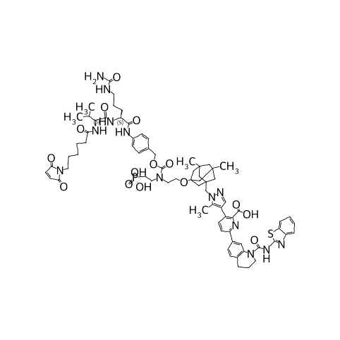 Cc1c(-c2ccc(-c3ccc4c(c3)N(C(=O)Nc3nc5ccccc5s3)CCC4)nc2C(=O)O)cnn1CC12CC3(C)CC(C)(C1)CC(OCCN(CCP(=O)(O)O)C(=O)OCc1ccc(NC(=O)[C@H](CCCNC(N)=O)NC(=O)[C@@H](NC(=O)CCCCCN4C(=O)C=CC4=O)C(C)C)cc1)(C3)C2